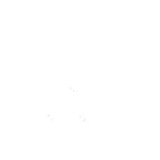 N=C(N)NCC1([C]=O)CCCCC1